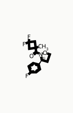 CC1(C(=O)N2OCC[C@H]2c2ccc(F)cc2)CC(F)(F)C1